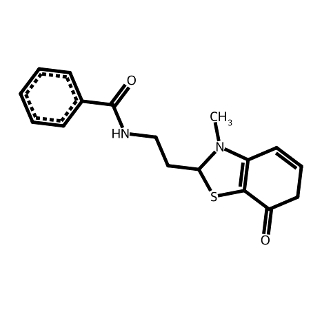 CN1C2=C(SC1CCNC(=O)c1ccccc1)C(=O)CC=C2